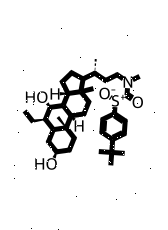 CC[C@@H]1C2C[C@H](O)CC[C@@]2(C)[C@H]2CCC3(C)C([C@H](C)CCN(C)C(=O)[S+]([O-])c4ccc(C(C)(C)C)cc4)CC[C@H]3C2[C@@H]1O